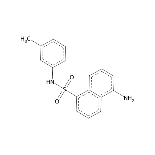 Cc1cccc(NS(=O)(=O)c2cccc3c(N)cccc23)c1